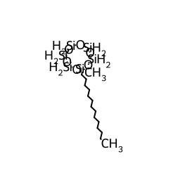 CCCCCCCCCCCCCC[Si]1(C)O[SiH2]O[SiH2]O[SiH2]O[SiH2]O[SiH2]O1